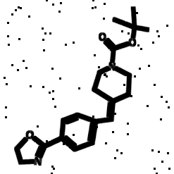 CC(C)(C)OC(=O)N1CCC(=Cc2ccc(C3=NCCO3)cc2)CC1